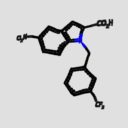 O=C(O)c1cc2cc([N+](=O)[O-])ccc2n1Cc1cccc(C(F)(F)F)c1